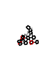 c1ccc(-c2ccccc2-c2ccccc2-c2c(-c3ncc4sc5ccccc5c4n3)c3c(c(-c4ccccc4-c4ccccc4-c4ccccc4)c2-c2ccccc2)-c2c4c(ccc2=N3)=c2ccccc2=N4)cc1